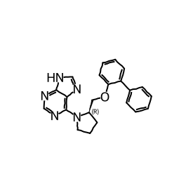 c1ccc(-c2ccccc2OC[C@H]2CCCN2c2ncnc3[nH]cnc23)cc1